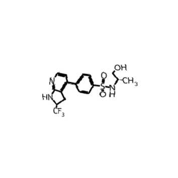 C[C@@H](CO)NS(=O)(=O)c1ccc(-c2ccnc3c2CC(C(F)(F)F)N3)cc1